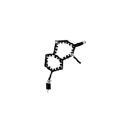 [C-]#[N+]c1ccc2ncc(=O)n(C)c2c1